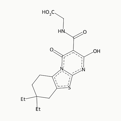 CCC1(CC)CCc2c(sc3nc(O)c(C(=O)NCC(=O)O)c(=O)n23)C1